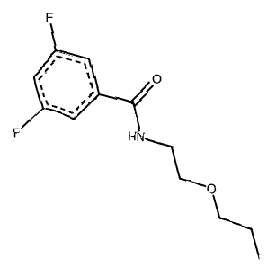 CCCOCCNC(=O)c1cc(F)cc(F)c1